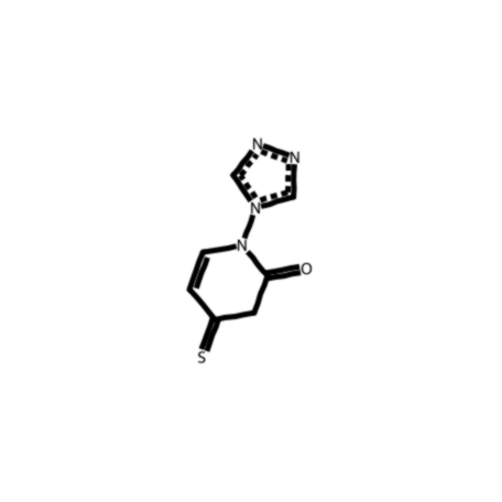 O=C1CC(=S)C=CN1n1cnnc1